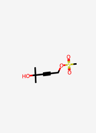 CC(C)(O)C#CCOS(C)(=O)=O